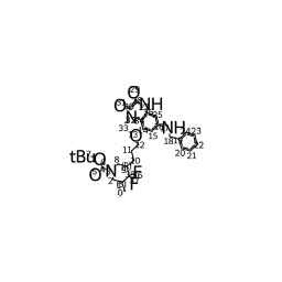 C[C@H]1CN(C(=O)OC(C)(C)C)C[C@@H](CCCOc2cc(NCc3ccccc3)cc3[nH]c(=O)c(=O)n(C)c23)C1(F)F